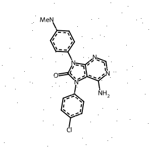 CNc1ccc(-n2c(=O)n(-c3ccc(Cl)cc3)c3c(N)ncnc32)cc1